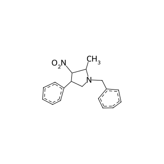 CC1C([N+](=O)[O-])C(c2ccccc2)CN1Cc1ccccc1